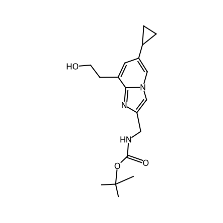 CC(C)(C)OC(=O)NCc1cn2cc(C3CC3)cc(CCO)c2n1